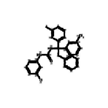 Cc1cccc(C(Cc2ccccc2)(NC(=O)Nc2cccc(Cl)c2)c2cccc(C(F)(F)F)c2)n1